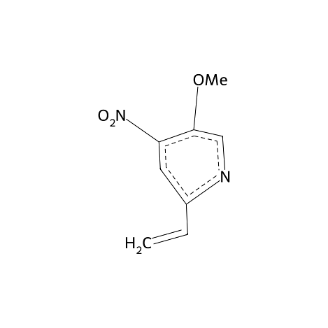 C=Cc1cc([N+](=O)[O-])c(OC)cn1